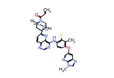 C=CC(=O)N1C[C@@H]2CC[C@H]1CN2c1ccc2ncnc(Nc3ccc(Oc4cnc5c(c4)ncn5C)c(C)c3F)c2n1